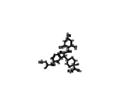 CC(CO)Nc1ncc2nc(Nc3c(Cl)cc(C#N)cc3Cl)n(C3CCC(C)(C(N)=O)CC3)c2n1